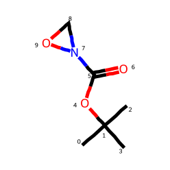 CC(C)(C)OC(=O)N1CO1